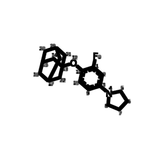 Fc1cc(N2CCCC2)ccc1OC12CC3CC(CC(C3)C1)C2